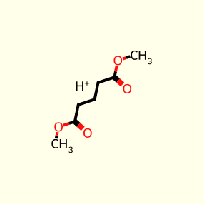 COC(=O)CCCC(=O)OC.[H+]